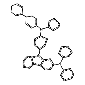 C1=CC(C2C=CC(N(c3ccccc3)c3ccc(-n4c5ccccc5c5ccc(N(c6ccccc6)c6ccccc6)cc54)cc3)=CC2)=CCC1